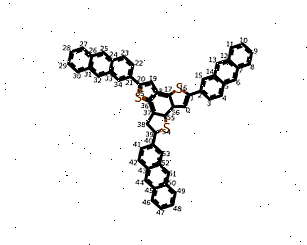 C1=C(c2ccc3cc4ccccc4cc3c2)SC2=c3cc(-c4ccc5cc6ccccc6cc5c4)sc3=C3CC(c4ccc5cc6ccccc6cc5c4)SC3C12